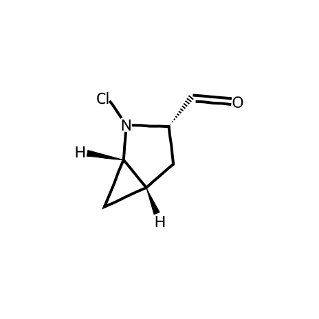 O=C[C@@H]1C[C@@H]2C[C@@H]2N1Cl